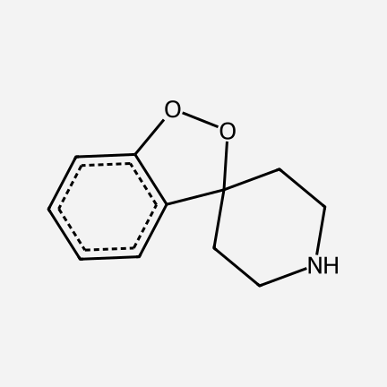 c1ccc2c(c1)OOC21CCNCC1